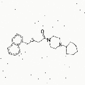 O=C(CSCc1cccc2ccccc12)N1CCN(C2CCCCC2)CC1